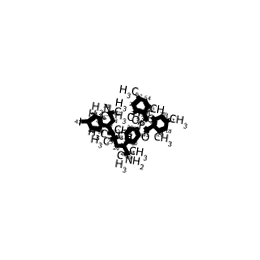 Cc1cc(C)c(C(=O)P(=O)(C(=O)c2c(C)cc(C)cc2C)c2ccc(C(CC(C)(C)C(C)(C)C(CC(C)(C)N)c3ccc(I)cc3)C(C)(C)N)cc2)c(C)c1